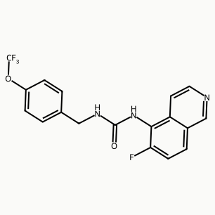 O=C(NCc1ccc(OC(F)(F)F)cc1)Nc1c(F)ccc2cnccc12